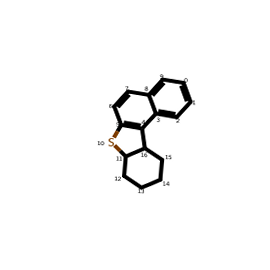 c1ccc2c3c(ccc2c1)SC1CCCCC31